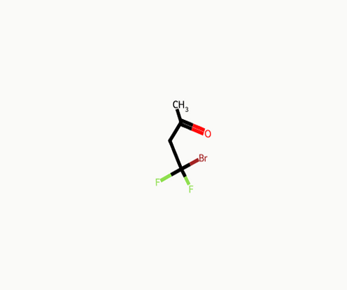 CC(=O)CC(F)(F)Br